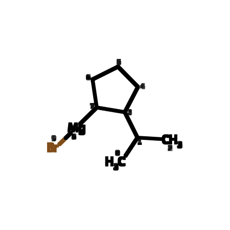 CC(C)C1CCC[CH]1[Mg][Br]